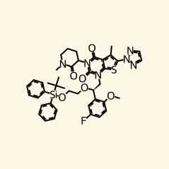 COc1ccc(F)cc1[C@H](Cn1c(=O)n(C2CCCN(C)C2=O)c(=O)c2c(C)c(-n3nccn3)sc21)OCCO[Si](c1ccccc1)(c1ccccc1)C(C)(C)C